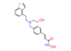 O=C(/C=C/c1ccc(CN(CCO)CCc2cccc3sccc23)cc1)NO